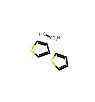 CC(=O)O.c1ccsc1.c1ccsc1